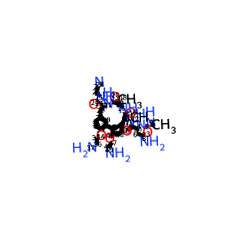 CNC(=O)N[C@@H](CCN)C(=O)N(C)[C@@H]1C(=O)N[C@@H](C)C(=O)N[C@H](C(=O)NCC#N)Cc2ccc(OCCN)c(c2)-c2cc1ccc2OCCN